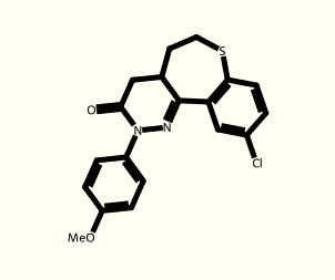 COc1ccc(N2N=C3c4cc(Cl)ccc4SCCC3CC2=O)cc1